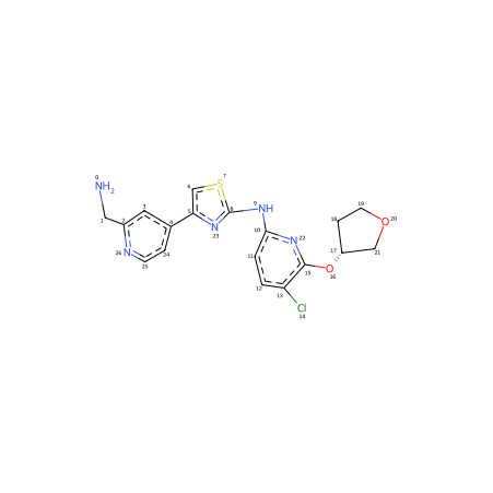 NCc1cc(-c2csc(Nc3ccc(Cl)c(O[C@@H]4CCOC4)n3)n2)ccn1